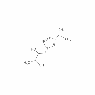 CC(C)c1cnn(CC(O)C(C)O)c1